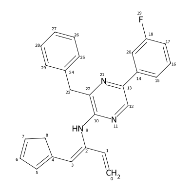 C=C/C(=C/C1=CC=CC1)Nc1ncc(-c2cccc(F)c2)nc1Cc1ccccc1